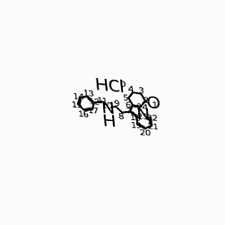 Cl.O=C1CCCc2c(CCNCc3ccccc3)c3ccccn3c21